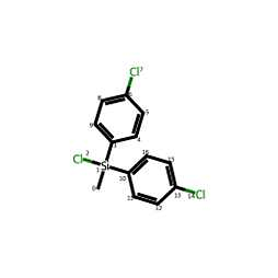 C[Si](Cl)(c1ccc(Cl)cc1)c1ccc(Cl)cc1